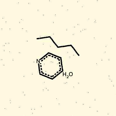 CCCCC.O.c1ccncc1